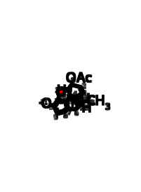 CC(=O)O[C@H]1C=C[C@H]2[C@H]3Cc4ccc([O])c5c4[C@@]2(CCN3C)[C@H]1O5